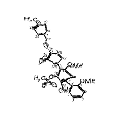 COc1ccccc1-c1cc(OC)c(-c2ccc(OCc3ccc(C)cc3)c(F)c2)c(OS(C)(=O)=O)c1OC